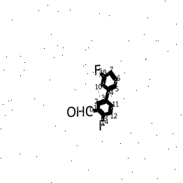 O=Cc1cc(-c2cccc(F)c2)ccc1F